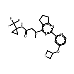 CN(CC(=O)NC1(C(F)(F)F)CC1)c1nc(-c2cc(OC3COC3)ccn2)nc2c1CCC2